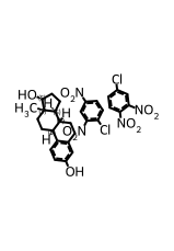 C[C@]12CC[C@@H]3c4ccc(O)cc4CC[C@H]3[C@@H]1CC[C@@H]2O.O=[N+]([O-])c1ccc(Cl)c([N+](=O)[O-])c1.O=[N+]([O-])c1ccc(Cl)cc1[N+](=O)[O-]